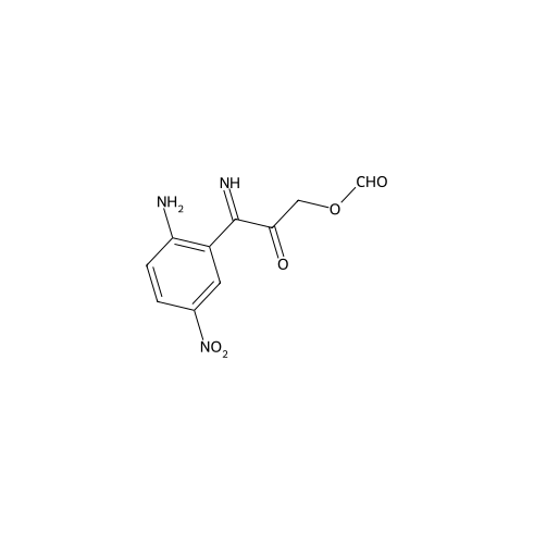 N=C(C(=O)COC=O)c1cc([N+](=O)[O-])ccc1N